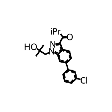 CC(C)C(=O)c1nn(CC(C)(C)O)c2cc(-c3cccc(Cl)c3)ccc12